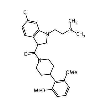 COc1cccc(OC)c1C1CCN(C(=O)C2CN(CCN(C)C)c3cc(Cl)ccc32)CC1